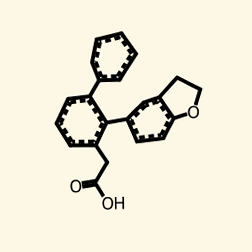 O=C(O)Cc1cccc(-c2ccccc2)c1-c1ccc2c(c1)CCO2